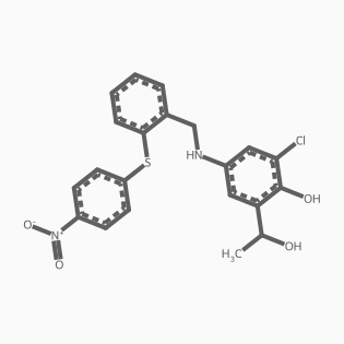 CC(O)c1cc(NCc2ccccc2Sc2ccc([N+](=O)[O-])cc2)cc(Cl)c1O